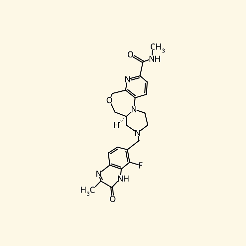 CNC(=O)c1ccc2c(n1)COC[C@@H]1CN(Cc3ccc4nc(C)c(=O)[nH]c4c3F)CCN21